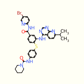 CC(C)c1ccc2c(Nc3cc(C(=O)Nc4ccc(Br)cn4)ccc3Sc3ccc(NC(=O)N4CCCCC4)cc3)ncnc2n1